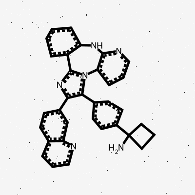 NC1(c2ccc(-c3c(-c4ccc5cccnc5c4)nc4n3-c3cccnc3Nc3ccccc3-4)cc2)CCC1